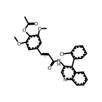 COc1cc(/C=C/C(=O)Nc2cnc3ccccc3c2-c2ccccc2Cl)cc(OC)c1OC(C)=O